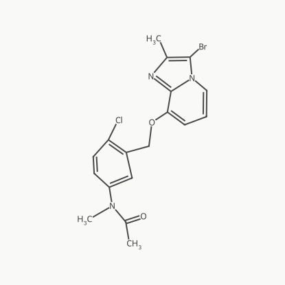 CC(=O)N(C)c1ccc(Cl)c(COc2cccn3c(Br)c(C)nc23)c1